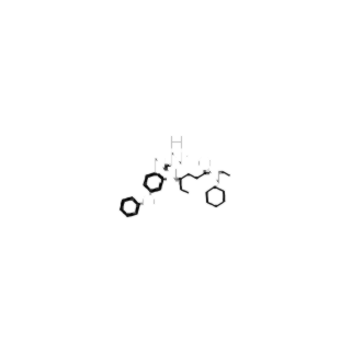 CCC(CCC(=O)N(CC)C1CCCCC1)n1c(N)nc2ccc(Oc3ccccc3)cc21